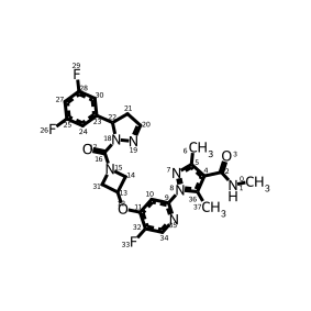 CNC(=O)c1c(C)nn(-c2cc(OC3CN(C(=O)N4N=CCC4c4cc(F)cc(F)c4)C3)c(F)cn2)c1C